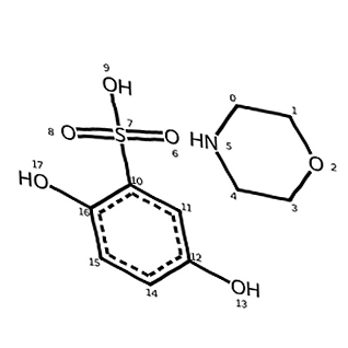 C1COCCN1.O=S(=O)(O)c1cc(O)ccc1O